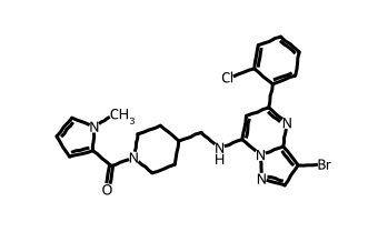 Cn1cccc1C(=O)N1CCC(CNc2cc(-c3ccccc3Cl)nc3c(Br)cnn23)CC1